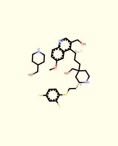 COc1ccc2ncc(CO)c([C@H](F)CCC3(CO)CCN[C@H](CCSc4ccc(F)cc4F)C3)c2c1.OCC1CCNCC1